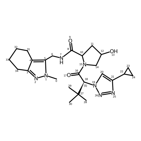 Cn1nc2c(c1CNC(=O)C1CC(O)CN1C(=O)[C@@H](n1cc(C3CC3)nn1)C(C)(C)C)CCCC2